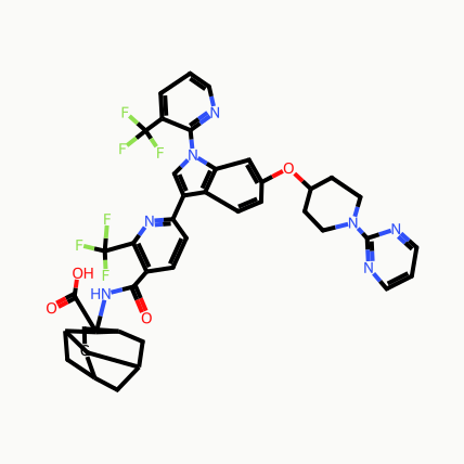 O=C(NC1(C(=O)O)C2CCC3CC(C2)CC1C3)c1ccc(-c2cn(-c3ncccc3C(F)(F)F)c3cc(OC4CCN(c5ncccn5)CC4)ccc23)nc1C(F)(F)F